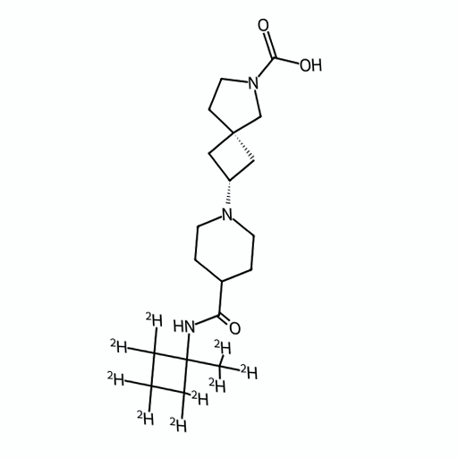 [2H]C([2H])([2H])C1(NC(=O)C2CCN([C@H]3C[C@@]4(CCN(C(=O)O)C4)C3)CC2)C([2H])([2H])C([2H])([2H])C1([2H])[2H]